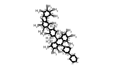 Bc1c(B)c(-c2c3c(B)c(B)c(B)c(B)c3c(-c3ccc(-c4ccccc4)cc3)c3c(B)c(B)c(B)c(B)c23)c(B)c(B)c1-c1c(B)c(B)c2oc3c(B)c(B)c(B)c(B)c3c2c1B